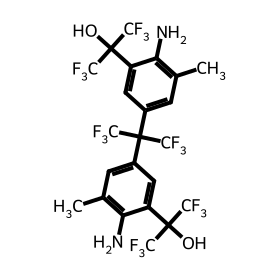 Cc1cc(C(c2cc(C)c(N)c(C(O)(C(F)(F)F)C(F)(F)F)c2)(C(F)(F)F)C(F)(F)F)cc(C(O)(C(F)(F)F)C(F)(F)F)c1N